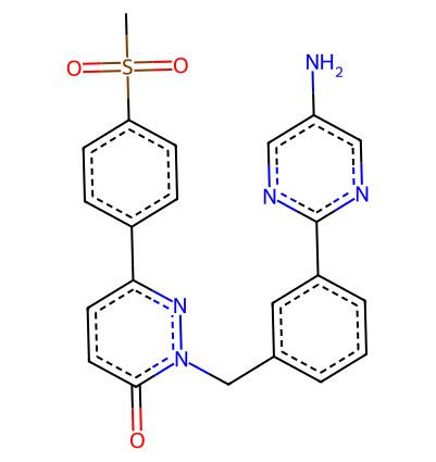 CS(=O)(=O)c1ccc(-c2ccc(=O)n(Cc3cccc(-c4ncc(N)cn4)c3)n2)cc1